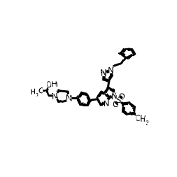 Cc1ccc(S(=O)(=O)n2cc(-c3cnn(CCc4ccccc4)c3)c3cc(-c4ccc(N5CCN(CC(C)O)CC5)cc4)cnc32)cc1